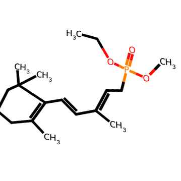 CCOP(=O)(CC=C(C)C=CC1=C(C)CCCC1(C)C)OC